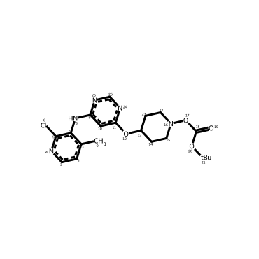 Cc1ccnc(Cl)c1Nc1cc(OC2CCN(OC(=O)OC(C)(C)C)CC2)ncn1